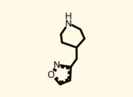 c1cc(CC2CCNCC2)no1